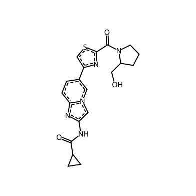 O=C(Nc1cn2cc(-c3csc(C(=O)N4CCCC4CO)n3)ccc2n1)C1CC1